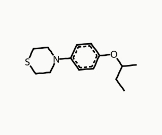 CCC(C)Oc1ccc(N2CCSCC2)cc1